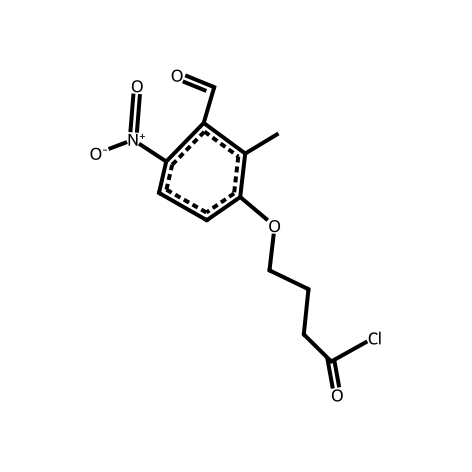 Cc1c(OCCCC(=O)Cl)ccc([N+](=O)[O-])c1C=O